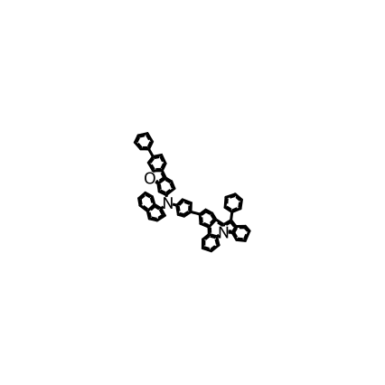 c1ccc(-c2ccc3c(c2)oc2cc(N(c4ccc(-c5ccc6c(c5)c5ccccc5n5c7ccccc7c(-c7ccccc7)c65)cc4)c4cccc5ccccc45)ccc23)cc1